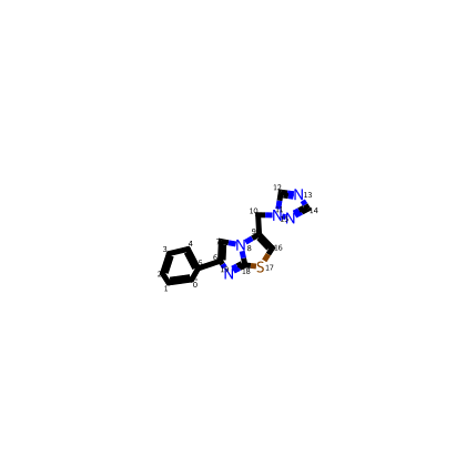 [c]1ccccc1-c1cn2c(Cn3cncn3)csc2n1